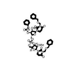 CO[C@@H]1[C@H](O[PH](=O)Oc2ccccc2)[C@@H](COP2(=O)OC[C@H]3O[C@@H](n4ccc(=O)n(COCc5ccccc5)c4=O)[C@H](OC)[C@@H]3O2)O[C@H]1n1ccc(=O)n(COCc2ccccc2)c1=O